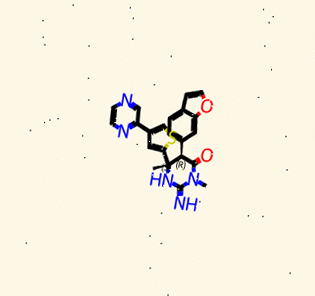 CN1C(=N)N[C@](C)(c2cc(-c3cnccn3)cs2)[C@@H](c2ccc3ccoc3c2)C1=O